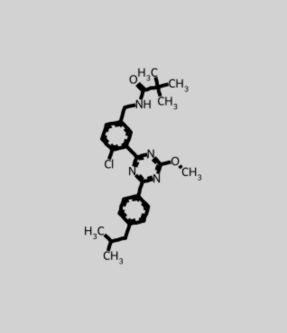 COc1nc(-c2ccc(CC(C)C)cc2)nc(-c2cc(CNC(=O)C(C)(C)C)ccc2Cl)n1